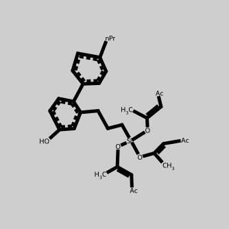 CCCc1ccc(-c2ccc(O)cc2CCC[Si](OC(C)=CC(C)=O)(OC(C)=CC(C)=O)OC(C)=CC(C)=O)cc1